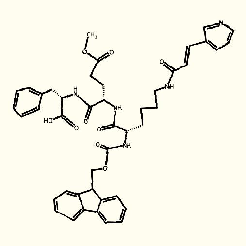 COC(=O)CC[C@H](NC(=O)[C@H](CCCCNC(=O)/C=C/c1cccnc1)NC(=O)OCC1c2ccccc2-c2ccccc21)C(=O)N[C@@H](Cc1ccccc1)C(=O)O